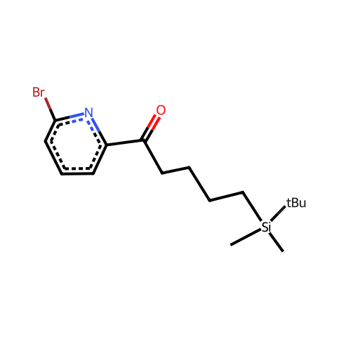 CC(C)(C)[Si](C)(C)CCCCC(=O)c1cccc(Br)n1